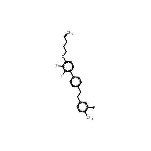 C=CCCCOc1ccc(-c2ccc(CCc3ccc(C)c(F)c3)cc2)c(F)c1F